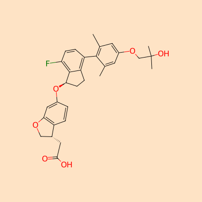 Cc1cc(OCC(C)(C)O)cc(C)c1-c1ccc(F)c2c1CC[C@H]2Oc1ccc2c(c1)OC[C@H]2CC(=O)O